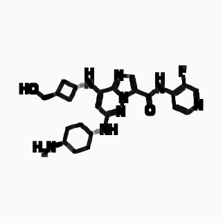 N[C@H]1CC[C@H](Nc2cc(N[C@H]3C[C@H](CO)C3)c3ncc(C(=O)Nc4ccncc4F)n3n2)CC1